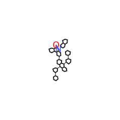 O=c1c2ccccc2c2cc(-c3ccc4c(-c5cccc(-c6ccccc6)c5)c5ccccc5c(-c5cccc(-c6ccccc6)c5)c4c3)ccc2n1-c1ccc2ccccc2c1